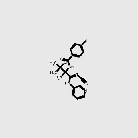 CC(C)(C)C(N)(NC(=O)c1ccc(I)cc1)C(=NC#N)Nc1cccnc1